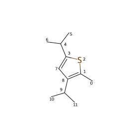 Cc1sc(C(C)C)cc1C(C)C